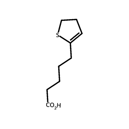 O=C(O)CCCCC1=CCCS1